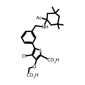 CC(=O)C1(NCc2cccc(-c3sc(C(=O)O)c(OCC(=O)O)c3Cl)c2)CC(C)(C)CC(C)(C)C1